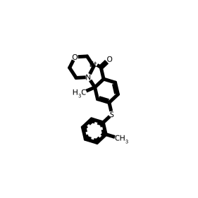 CCC(=O)C1C=CC(Sc2ccccc2C)=CC1(C)N1CCOCC1